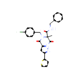 CC1(C(=O)NCc2ccccc2)C(=O)n2nc(-c3cccs3)cc2C(=O)N1Cc1ccc(Cl)cc1